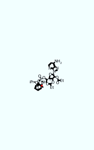 CCC(=O)OC1C(OC(=O)CC)[C@H](n2cnc3c(N)ccnc32)O[C@@H]1C(C)OP(=O)(NC(C)C(=O)OC(C)C)Oc1ccccc1